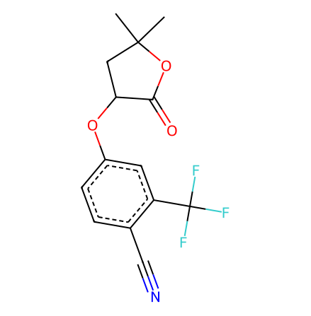 CC1(C)CC(Oc2ccc(C#N)c(C(F)(F)F)c2)C(=O)O1